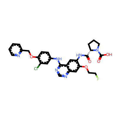 O=C(Nc1cc2c(Nc3ccc(OCc4ccccn4)c(Cl)c3)ncnc2cc1OCCF)[C@@H]1CCCN1C(=O)O